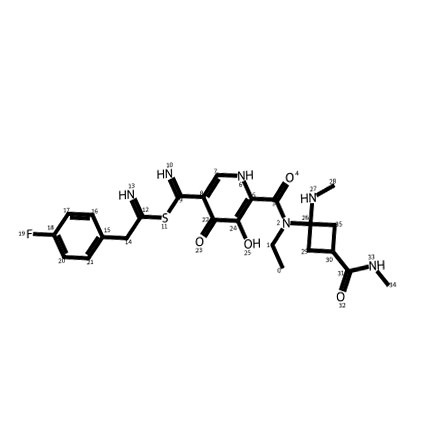 CCN(C(=O)c1[nH]cc(C(=N)SC(=N)Cc2ccc(F)cc2)c(=O)c1O)C1(NC)CC(C(=O)NC)C1